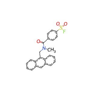 CN(Cc1c2ccccc2cc2ccccc12)C(=O)c1ccc(S(=O)(=O)F)cc1